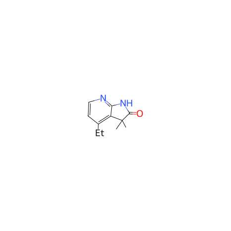 CCc1ccnc2c1C(C)(C)C(=O)N2